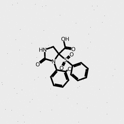 O=C1NCC(C(=O)O)(S(=O)(=O)c2ccccc2)N1c1ccccc1Cl